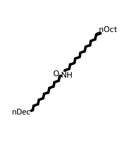 CCCCCCCCC=CCCCCCCCCCCCCNC(=O)CCCCCCCCCCCCCCCCCCCCC